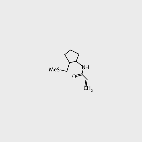 C=CC(=O)NC1CCCC1CSC